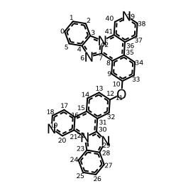 c1ccc2c(c1)nc1c3cc(Oc4ccc5c6ccncc6n6c7ccccc7nc6c5c4)ccc3c3ccncc3n21